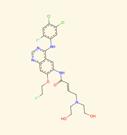 O=C(C=CCN(CCO)CCO)Nc1cc2c(Nc3cc(Cl)c(Cl)cc3F)ncnc2cc1OCCF